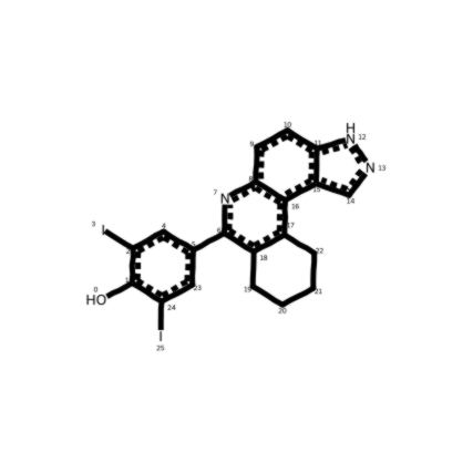 Oc1c(I)cc(-c2nc3ccc4[nH]ncc4c3c3c2CCCC3)cc1I